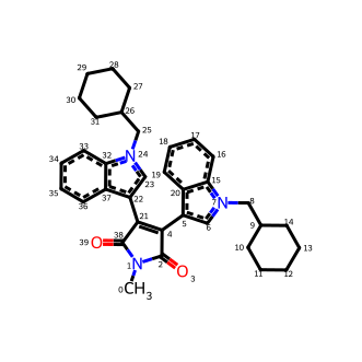 CN1C(=O)C(c2cn(CC3CCCCC3)c3ccccc23)=C(c2cn(CC3CCCCC3)c3ccccc23)C1=O